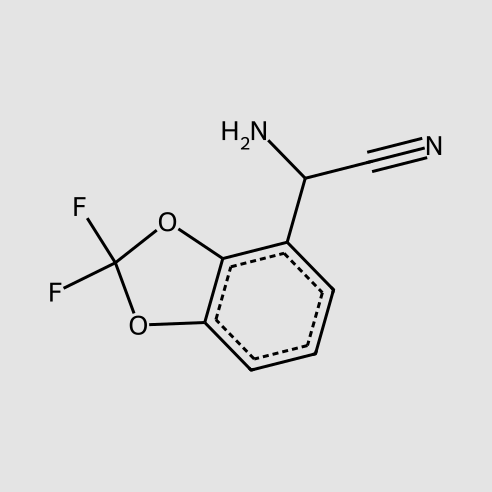 N#CC(N)c1cccc2c1OC(F)(F)O2